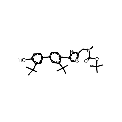 CN(Cc1nc(-c2ccc(-c3ccc(O)c(C(C)(C)C)c3)cc2C(C)(C)C)cs1)C(=O)OC(C)(C)C